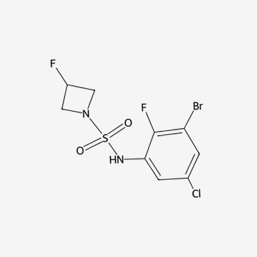 O=S(=O)(Nc1cc(Cl)cc(Br)c1F)N1CC(F)C1